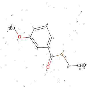 CC(C)(C)Oc1cccc(C(=O)SC[C]=O)c1